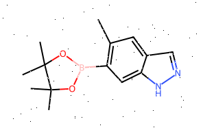 Cc1cc2cn[nH]c2cc1B1OC(C)(C)C(C)(C)O1